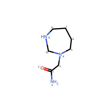 NC(=O)CN1CCCCNC1